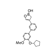 COc1ccc(-c2cccc(C3=COB(O)C3)c2)cc1OC1CCCC1